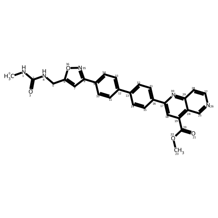 CNC(=O)NCc1cc(-c2ccc(-c3ccc(-c4cc(C(=O)OC)c5cnccc5n4)cc3)cc2)no1